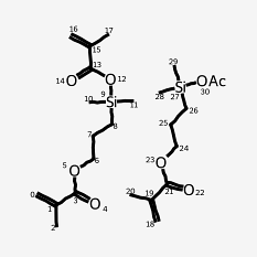 C=C(C)C(=O)OCCC[Si](C)(C)OC(=O)C(=C)C.C=C(C)C(=O)OCCC[Si](C)(C)OC(C)=O